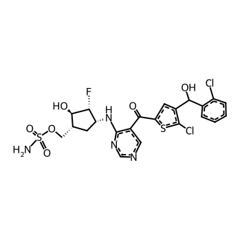 NS(=O)(=O)OC[C@H]1C[C@@H](Nc2ncncc2C(=O)c2cc(C(O)c3ccccc3Cl)c(Cl)s2)[C@@H](F)[C@@H]1O